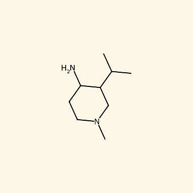 CC(C)C1CN(C)CCC1N